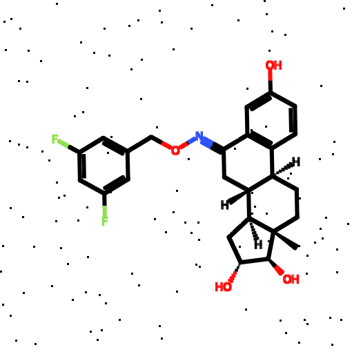 C[C@]12CC[C@@H]3c4ccc(O)cc4C(=NOCc4cc(F)cc(F)c4)C[C@H]3[C@@H]1C[C@@H](O)[C@@H]2O